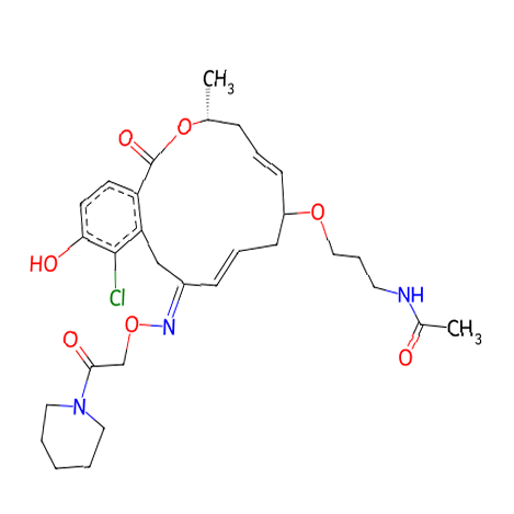 CC(=O)NCCCOC1/C=C/C[C@@H](C)OC(=O)c2ccc(O)c(Cl)c2CC(=N\OCC(=O)N2CCCCC2)/C=C/C1